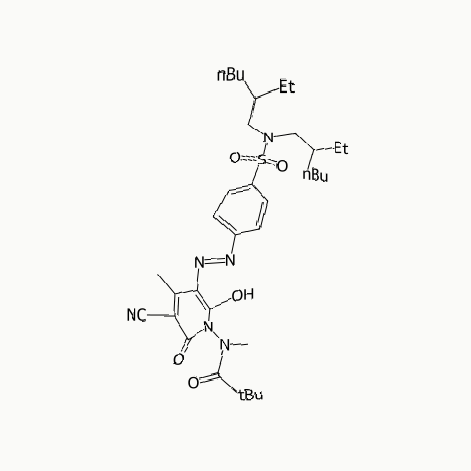 CCCCC(CC)CN(CC(CC)CCCC)S(=O)(=O)c1ccc(N=Nc2c(C)c(C#N)c(=O)n(N(C)C(=O)C(C)(C)C)c2O)cc1